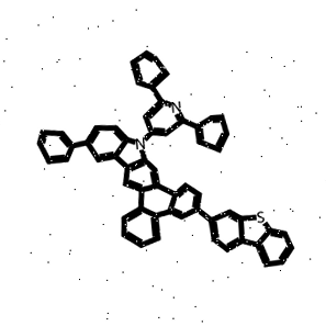 c1ccc(-c2ccc3c(c2)c2cc4c5ccccc5c5cc(-c6ccc7c(c6)sc6ccccc67)ccc5c4cc2n3-c2cc(-c3ccccc3)nc(-c3ccccc3)c2)cc1